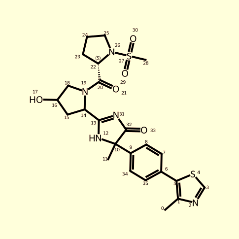 Cc1ncsc1-c1ccc(C2(C)NC(C3CC(O)CN3C(=O)[C@@H]3CCCN3S(C)(=O)=O)=NC2=O)cc1